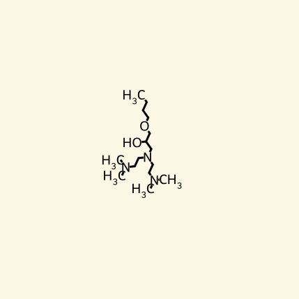 CCCCOCC(O)CN(CCN(C)C)CCN(C)C